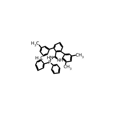 Cc1cc(C)cc(-c2cccc(-c3cc(C)cc(C)c3)c2C(=N)NP(c2ccccc2)c2ccccc2)c1